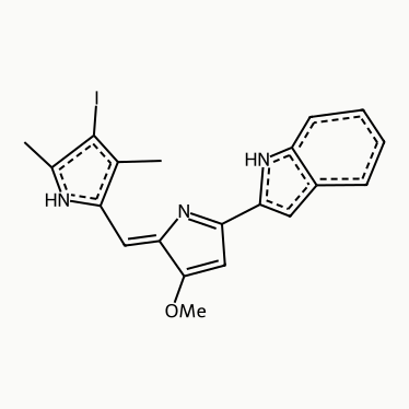 COC1=CC(c2cc3ccccc3[nH]2)=NC1=Cc1[nH]c(C)c(I)c1C